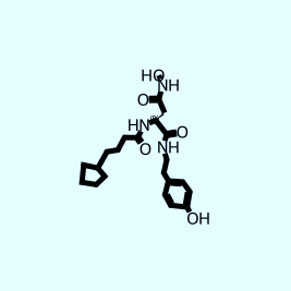 O=C(C[C@@H](NC(=O)CCCC1CCCC1)C(=O)NCCc1ccc(O)cc1)NO